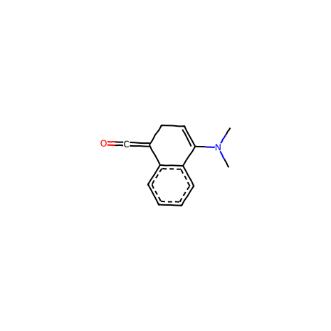 CN(C)C1=CCC(=C=O)c2ccccc21